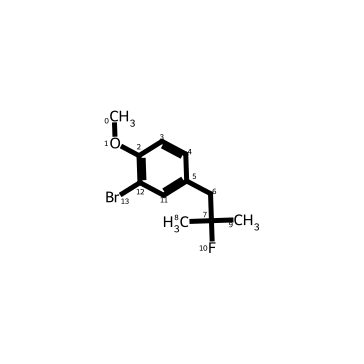 COc1ccc(CC(C)(C)F)cc1Br